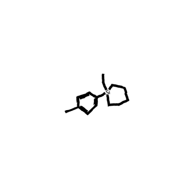 CC[Si]1(c2ccc(C)cc2)CCCCC1